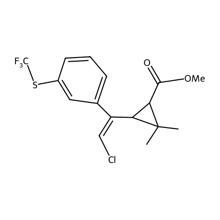 COC(=O)C1C(C(=CCl)c2cccc(SC(F)(F)F)c2)C1(C)C